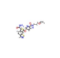 COCCCNC(=O)c1ccc(Oc2sc(C(N)=O)c3c2-c2sncc2CC3)cn1